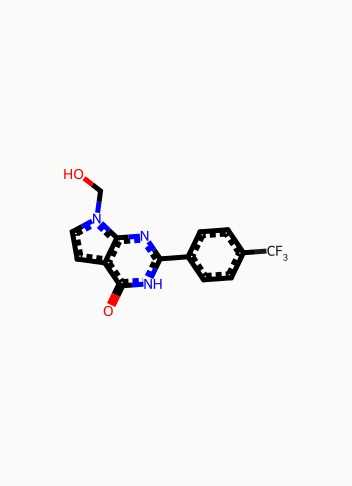 O=c1[nH]c(-c2ccc(C(F)(F)F)cc2)nc2c1ccn2CO